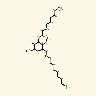 CCCCCCOCCOCC1O[C@@H](C)C(O)C(OCCOCCCCCC)C1OC